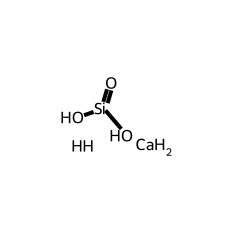 O=[Si](O)O.[CaH2].[HH]